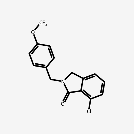 O=C1c2c(Cl)cccc2CN1Cc1ccc(OC(F)(F)F)cc1